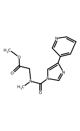 COC(=O)CN(C)C(=O)n1cnc(-c2cccnc2)c1